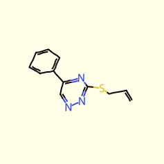 C=CCSc1nncc(-c2ccccc2)n1